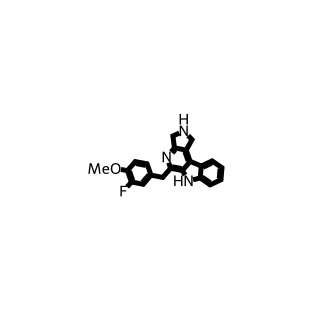 COc1ccc(Cc2nc3c(c4c2[nH]c2ccccc24)CNC3)cc1F